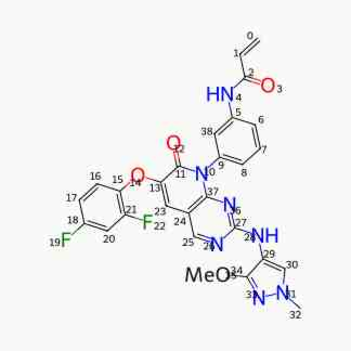 C=CC(=O)Nc1cccc(-n2c(=O)c(Oc3ccc(F)cc3F)cc3cnc(Nc4cn(C)nc4OC)nc32)c1